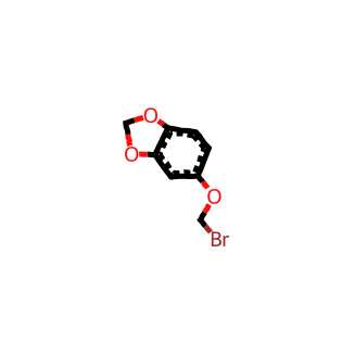 BrCOc1ccc2c(c1)OCO2